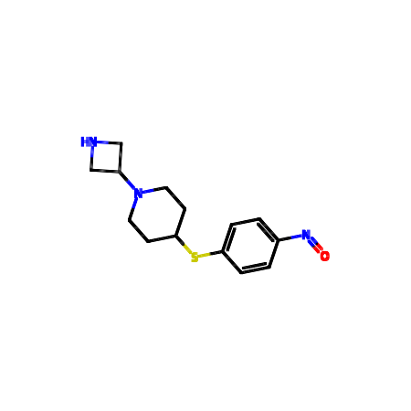 O=Nc1ccc(SC2CCN(C3CNC3)CC2)cc1